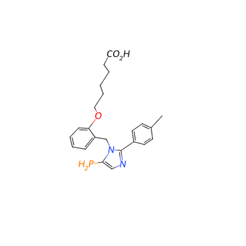 Cc1ccc(-c2ncc(P)n2Cc2ccccc2OCCCCCC(=O)O)cc1